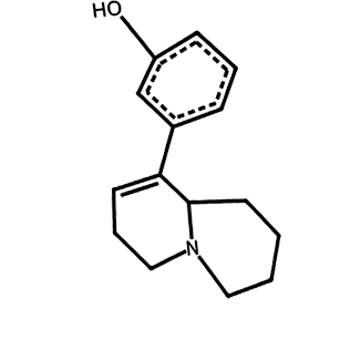 Oc1cccc(C2=CCCN3CCCCC23)c1